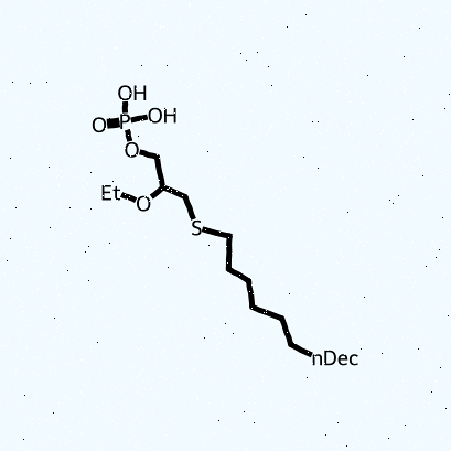 CCCCCCCCCCCCCCCCSCC(COP(=O)(O)O)OCC